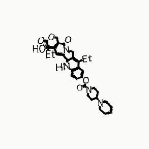 CCC1=C2Cn3c(cc4c(c3=O)COC(=O)[C@]4(O)CC)C2Nc2ccc(OC(=O)N3CCC(N4CCCCC4)CC3)cc21